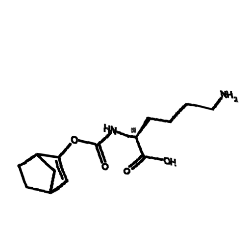 NCCCC[C@H](NC(=O)OC1=CC2CCC1C2)C(=O)O